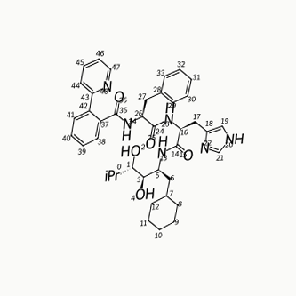 CC(C)[C@H](O)[C@H](O)[C@H](CC1CCCCC1)NC(=O)[C@H](Cc1c[nH]cn1)NC(=O)[C@H](Cc1ccccc1)NC(=O)c1ccccc1-c1ccccn1